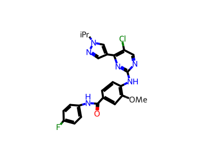 COc1cc(C(=O)Nc2ccc(F)cc2)ccc1Nc1ncc(Cl)c(-c2cnn(C(C)C)c2)n1